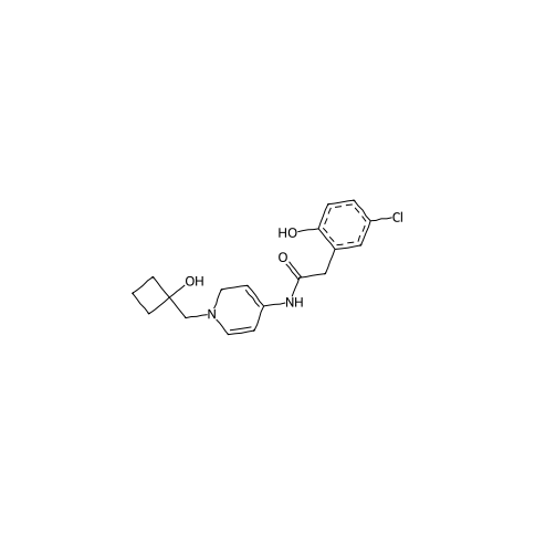 O=C(Cc1cc(Cl)ccc1O)NC1=CCN(CC2(O)CCC2)C=C1